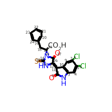 O=C1Nc2cc(Cl)c(Cl)cc2/C1=C1/NC(=S)N(C(Cc2ccccc2)C(=O)O)C1=O